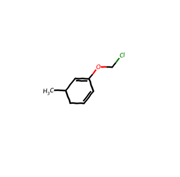 CC1C=C(OCCl)C=CC1